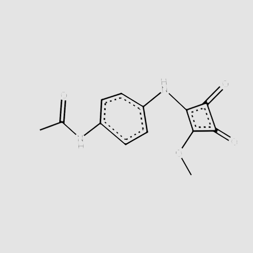 COc1c(Nc2ccc(NC(C)=O)cc2)c(=O)c1=O